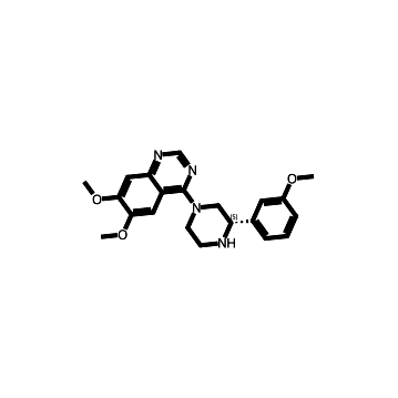 COc1cccc([C@H]2CN(c3ncnc4cc(OC)c(OC)cc34)CCN2)c1